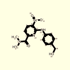 CN(C)C(=O)c1ccc([N+](=O)[O-])c(Nc2ccc(CO)cc2)n1